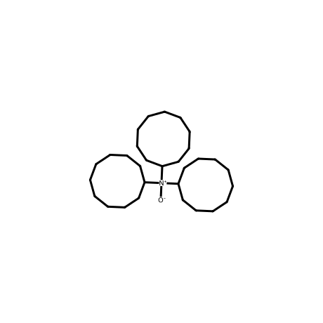 [O-][N+](C1CCCCCCCCC1)(C1CCCCCCCCC1)C1CCCCCCCCC1